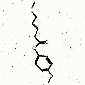 COCCCCC(=O)Oc1ccc(OC)cc1